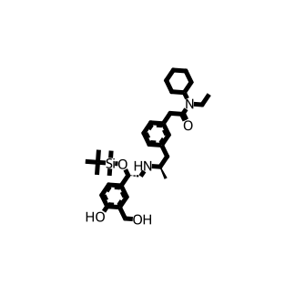 CCN(C(=O)Cc1cccc(C[C@@H](C)NC[C@@H](O[Si](C)(C)C(C)(C)C)c2ccc(O)c(CO)c2)c1)C1CCCCC1